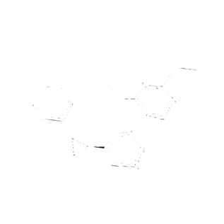 COc1ncc(-c2cc([C@H]3C[C@@H]3c3ccccc3)cnn2)c(OC)n1